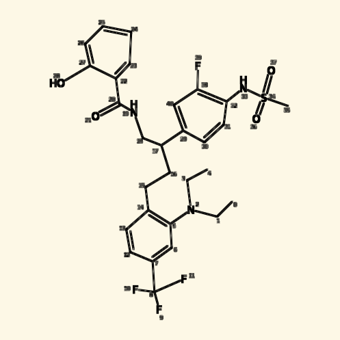 CCN(CC)c1cc(C(F)(F)F)ccc1CCC(CNC(=O)c1ccccc1O)c1ccc(NS(C)(=O)=O)c(F)c1